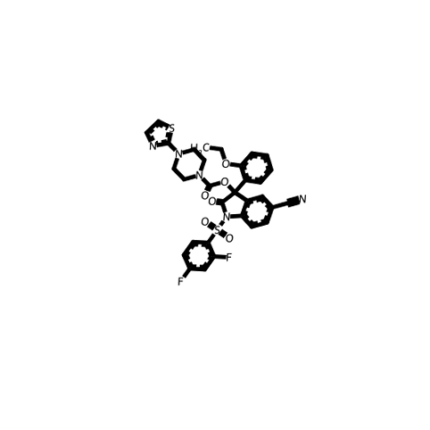 CCOc1ccccc1C1(OC(=O)N2CCN(c3nccs3)CC2)C(=O)N(S(=O)(=O)c2ccc(F)cc2F)c2ccc(C#N)cc21